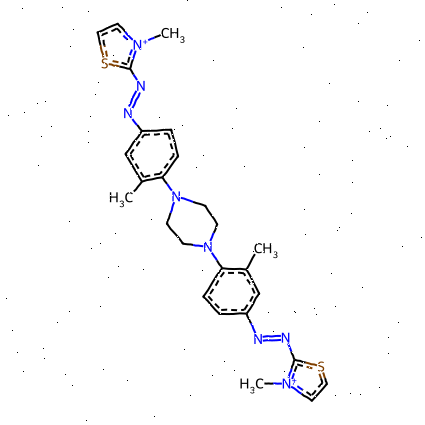 Cc1cc(/N=N/c2scc[n+]2C)ccc1N1CCN(c2ccc(/N=N/c3scc[n+]3C)cc2C)CC1